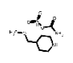 COCC1CCNCC1.NC(=O)O[SH](=O)=O